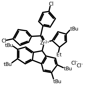 CCC1C=C(C(C)(C)C)C=[C]1[Zr+2](=[C](c1ccc(Cl)cc1)c1ccc(Cl)cc1)[CH]1c2cc(C(C)(C)C)c(C(C)(C)C)cc2-c2cc(C(C)(C)C)c(C(C)(C)C)cc21.[Cl-].[Cl-]